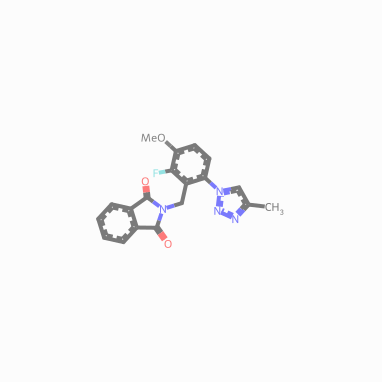 COc1ccc(-n2cc(C)nn2)c(CN2C(=O)c3ccccc3C2=O)c1F